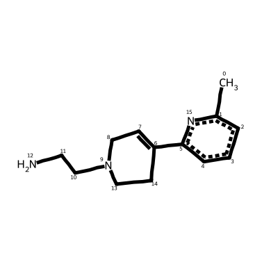 Cc1cccc(C2=CCN(CCN)CC2)n1